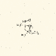 CCC(C)(C)CC(C)(C)PCl